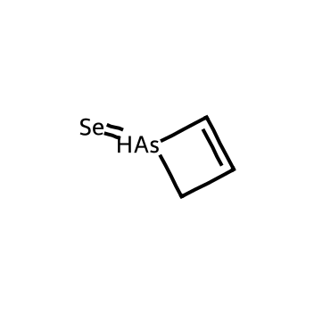 [Se]=[AsH]1C=CC1